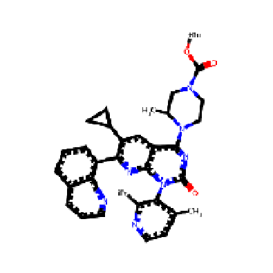 Cc1ccnc(C(C)C)c1-n1c(=O)nc(N2CCN(C(=O)OC(C)(C)C)CC2C)c2cc(C3CC3)c(-c3cccc4cccnc34)nc21